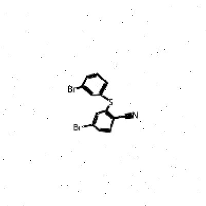 N#Cc1ccc(Br)cc1Sc1cccc(Br)c1